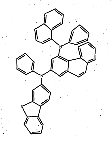 c1ccc(N(c2cc(N(c3ccccc3)c3cccc4ccccc34)c3c(ccc4ccccc43)c2)c2ccc3c(c2)sc2ccccc23)cc1